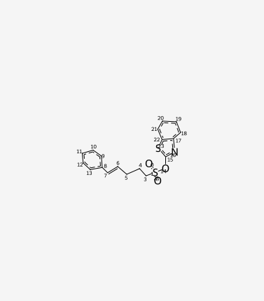 O=S(=O)(CCCC=Cc1ccccc1)Oc1nc2ccccc2s1